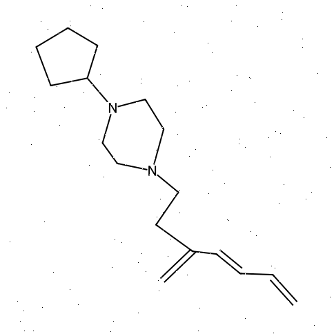 C=CC=CC(=C)CCN1CCN(C2CCCC2)CC1